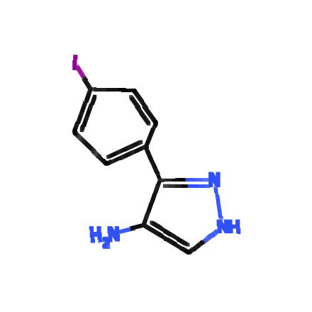 Nc1c[nH]nc1-c1ccc(I)cc1